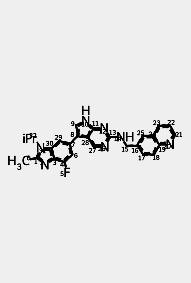 Cc1nc2c(F)cc(-c3c[nH]c4nc(NCc5ccc6ncccc6c5)ncc34)cc2n1C(C)C